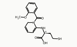 COc1ccccc1C(=O)N1CC=CC=C1N[C@@H](CCS)C(=O)O